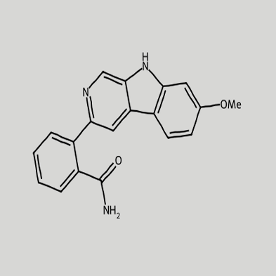 COc1ccc2c(c1)[nH]c1cnc(-c3ccccc3C(N)=O)cc12